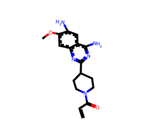 C=CC(=O)N1CCC(c2nc(N)c3cc(N)c(OC)cc3n2)CC1